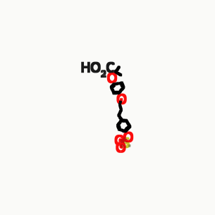 CC(C)(Oc1ccc(OCCCc2ccc(OS(C)(=O)=O)cc2)cc1)C(=O)O